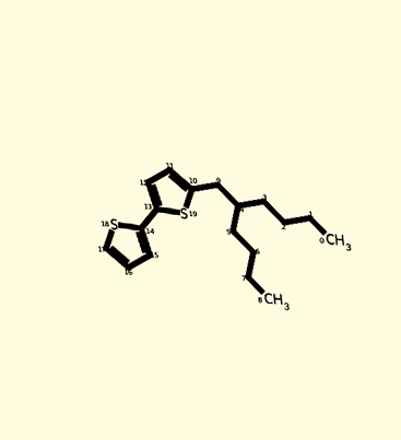 CCCCC(CCCC)Cc1ccc(-c2cccs2)s1